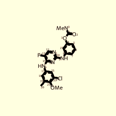 CNC(=O)Oc1cccc(Nc2ncc(F)c(Nc3cc(C)c(OC)c(Cl)c3)n2)c1